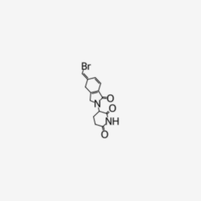 O=C1CCC(N2CC3=C(C=CC(=CBr)C3)C2=O)C(=O)N1